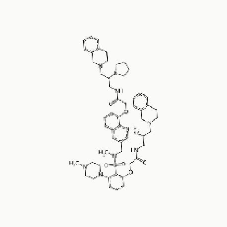 CN1CCN(c2cccc(OCC(=O)NC[C@@H](N)CN3CCc4ccccc4C3)c2S(=O)(=O)N(C)Cc2cnc3c(OCC(=O)NCC(CN4CCc5ccccc5C4)N4CCCC4)cccc3c2)CC1